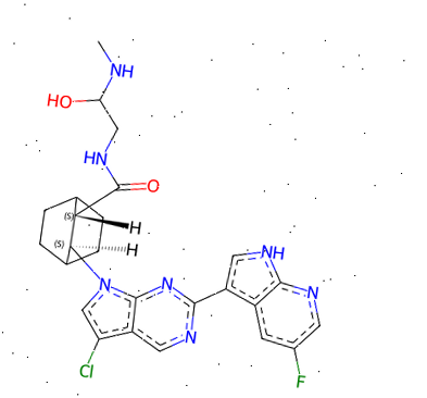 CNC(O)CNC(=O)[C@H]1C2CCC(CC2)[C@@H]1n1cc(Cl)c2cnc(-c3c[nH]c4ncc(F)cc34)nc21